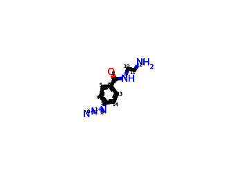 [N-]=[N+]=Nc1ccc(C(=O)NCCN)cc1